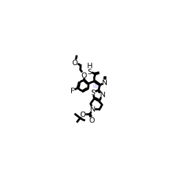 C=N/C(=C(\C(=C)S)c1ccc(F)cc1OCCOC)c1nc2c(s1)CN(C(=O)OC(C)(C)C)CC2